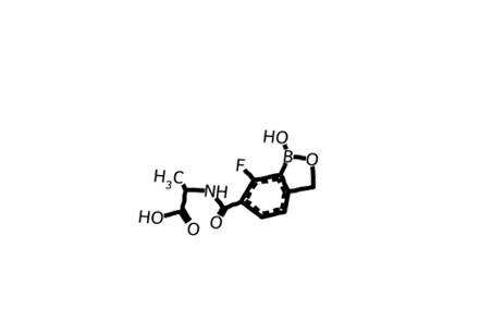 CC(NC(=O)c1ccc2c(c1F)B(O)OC2)C(=O)O